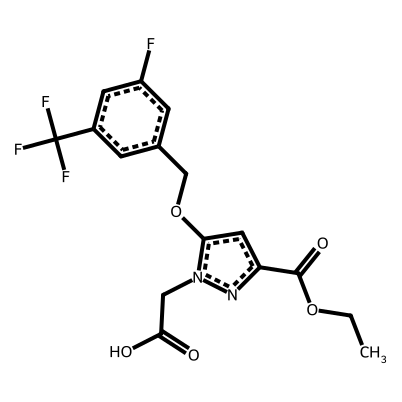 CCOC(=O)c1cc(OCc2cc(F)cc(C(F)(F)F)c2)n(CC(=O)O)n1